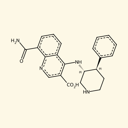 NC(=O)c1cccc2c(N[C@H]3CNCC[C@@H]3c3ccccc3)c(C(=O)O)cnc12